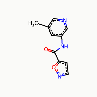 Cc1cncc(NC(=O)c2ccno2)c1